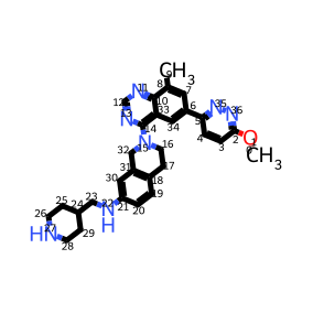 COc1ccc(-c2cc(C)c3ncnc(N4CCc5ccc(NCC6CCNCC6)cc5C4)c3c2)nn1